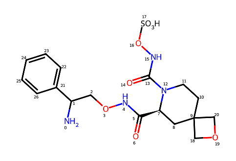 NC(CONC(=O)[C@@H]1CC2(CCN1C(=O)NOS(=O)(=O)O)COC2)c1ccccc1